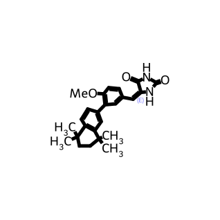 COc1ccc(/C=C2/NC(=O)NC2=O)cc1-c1ccc2c(c1)C(C)(C)CCC2(C)C